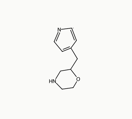 [c]1cc(CC2CNCCO2)ccn1